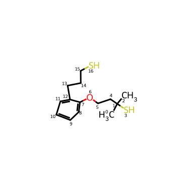 CC(C)(S)CCOc1ccccc1CCCS